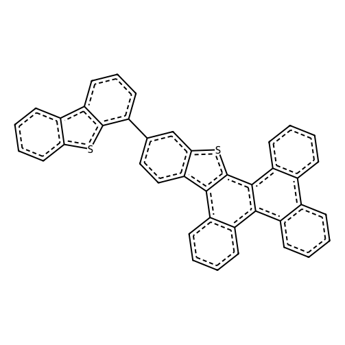 c1ccc2c(c1)sc1c(-c3ccc4c(c3)sc3c4c4ccccc4c4c5ccccc5c5ccccc5c34)cccc12